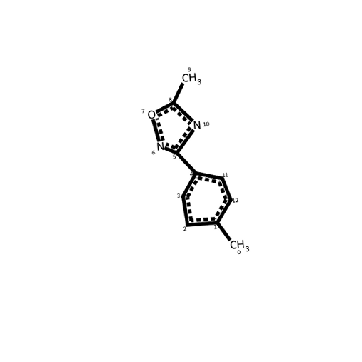 Cc1ccc(-c2noc(C)n2)cc1